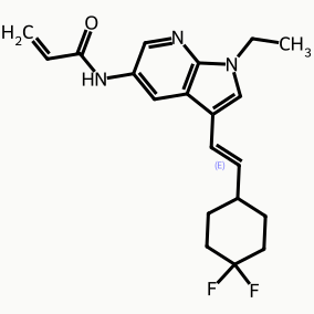 C=CC(=O)Nc1cnc2c(c1)c(/C=C/C1CCC(F)(F)CC1)cn2CC